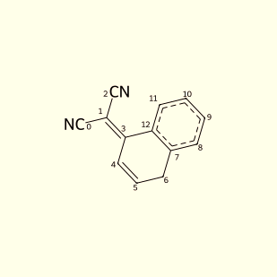 N#CC(C#N)=C1C=CCc2ccccc21